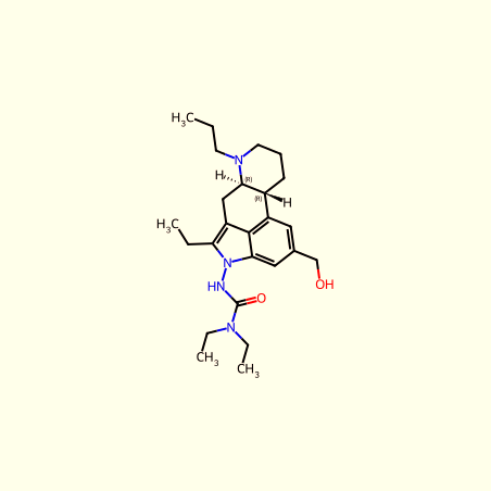 CCCN1CCC[C@@H]2c3cc(CO)cc4c3c(c(CC)n4NC(=O)N(CC)CC)C[C@H]21